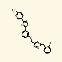 Cc1ccc(-c2noc(-c3cccc(OCc4cn(Cc5ccccc5F)nn4)c3)n2)cn1